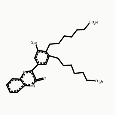 O=C(O)CCCCCCc1cc(-c2nc3ccccc3[nH]c2=O)cc([N+](=O)[O-])c1CCCCCCC(=O)O